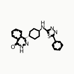 O=c1[nH]nc([C@H]2CC[C@H](Nc3nnc(-c4ccccc4)s3)CC2)c2ccccc12